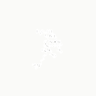 CC(C)C[C@H](NC(=O)[C@@H](N)CC(C)C)C(=O)N(C[C]=O)C(=O)CCCCCN